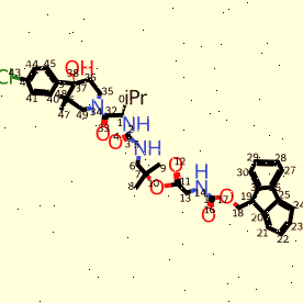 CC(C)[C@@H](NC(=O)NCC(C)(C)OC(=O)CNC(=O)OCC1c2ccccc2-c2ccccc21)C(=O)N1CC[C@](O)(c2ccc(Cl)cc2)C(C)(C)C1